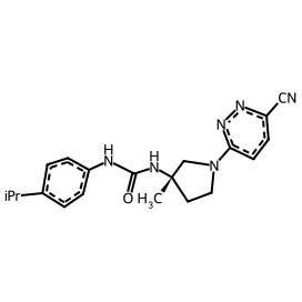 CC(C)c1ccc(NC(=O)N[C@@]2(C)CCN(c3ccc(C#N)nn3)C2)cc1